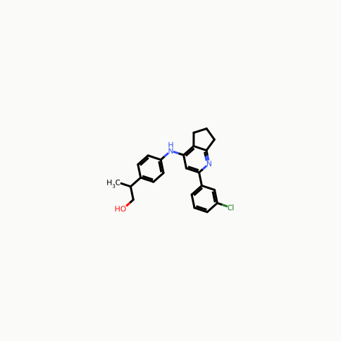 CC(CO)c1ccc(Nc2cc(-c3cccc(Cl)c3)nc3c2CCC3)cc1